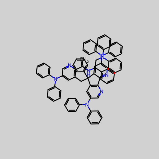 C=C(NC(CN(c1ccccc1)c1ccccc1)c1ccccc1)c1ncc(N(c2ccccc2)c2ccccc2)cc1CC1(c2ccccc2)c2cc(N(c3ccccc3)c3ccccc3)cnc2-c2ncc(N(c3ccccc3)c3ccccc3)cc21